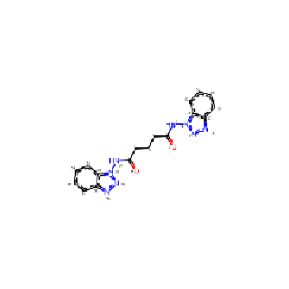 O=C(CCCC(=O)Nn1nnc2ccccc21)Nn1nnc2ccccc21